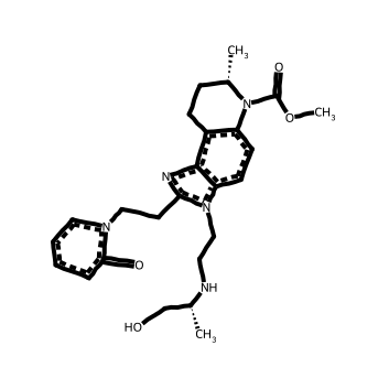 COC(=O)N1c2ccc3c(nc(CCn4ccccc4=O)n3CCN[C@H](C)CO)c2CC[C@@H]1C